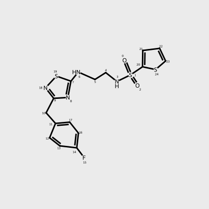 O=S(=O)(NCCNc1nc(Cc2ccc(F)cc2)ns1)c1cccs1